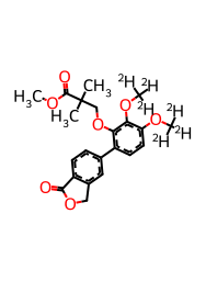 [2H]C([2H])([2H])Oc1ccc(-c2ccc3c(c2)COC3=O)c(OCC(C)(C)C(=O)OC)c1OC([2H])([2H])[2H]